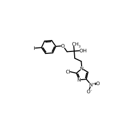 CC(O)(CCn1cc([N+](=O)[O-])nc1Cl)COc1ccc(I)cc1